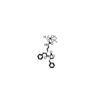 CC(C)(C)OC(=O)NCCC[C@@H](Cc1ccccc1)C(=O)N1C(=O)OC[C@H]1Cc1ccccc1